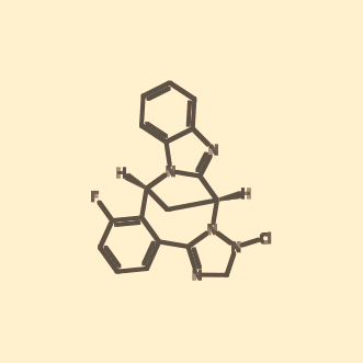 Fc1cccc2c1[C@H]1C[C@H](c3nc4ccccc4n31)N1C2=NCN1Cl